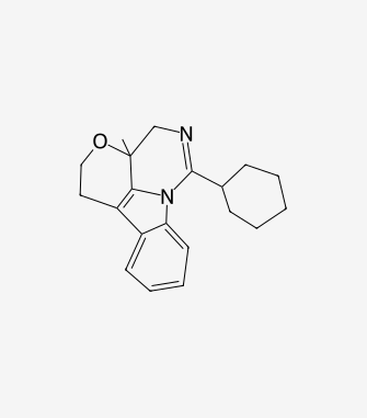 CC12CN=C(C3CCCCC3)n3c1c(c1ccccc13)CCO2